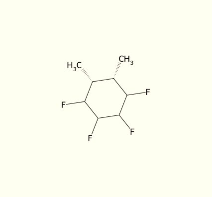 C[C@@H]1C(F)C(F)C(F)C(F)[C@@H]1C